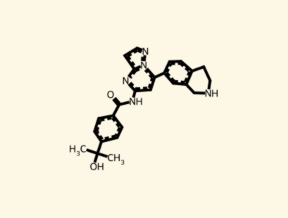 CC(C)(O)c1ccc(C(=O)Nc2cc(-c3ccc4c(c3)CNCC4)n3nccc3n2)cc1